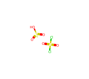 O=S(=O)(Cl)Cl.O=[SH](=O)O